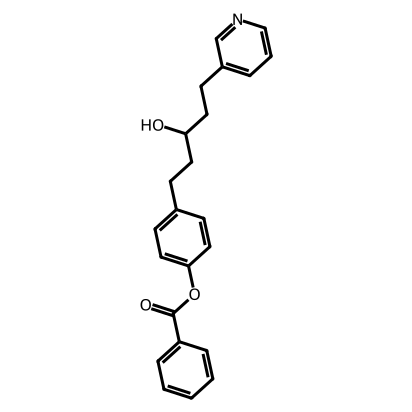 O=C(Oc1ccc(CCC(O)CCc2cccnc2)cc1)c1ccccc1